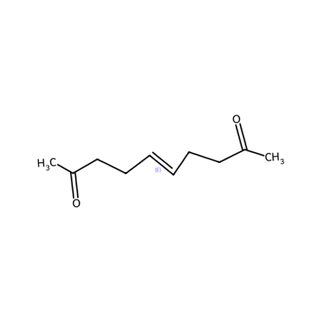 CC(=O)CC/C=C/CCC(C)=O